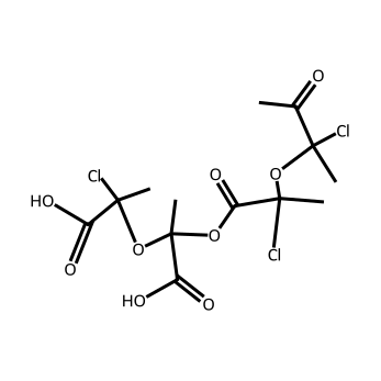 CC(=O)C(C)(Cl)OC(C)(Cl)C(=O)OC(C)(OC(C)(Cl)C(=O)O)C(=O)O